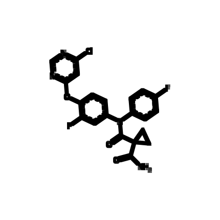 NC(=O)C1(C(=O)N(c2ccc(F)cc2)c2ccc(Oc3cc(Cl)ncn3)c(F)c2)CC1